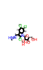 CN/N=C/c1c(Cl)n([C@@H]2O[C@H](CO)C(O)C2O)c2cc(Cl)c(Cl)cc12